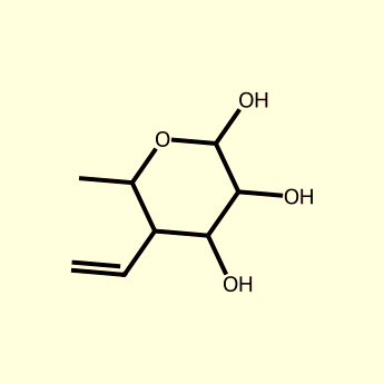 C=CC1C(C)OC(O)C(O)C1O